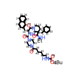 CCNC(=O)[C@]1(Cc2ccccc2)CCCN(C(=O)[C@@H](Cc2ccc3ccccc3c2)NC(=O)N2CCN(C(=O)CCCCCNC(=O)OC(C)(C)C)CC2)C1